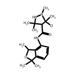 CC1OC(C)(C)c2cccc(NC(=O)C3C(C)(C)NN(C)C3(C)Cl)c21